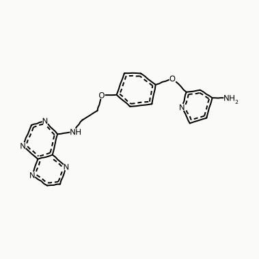 Nc1ccnc(Oc2ccc(OCCNc3ncnc4nccnc34)cc2)c1